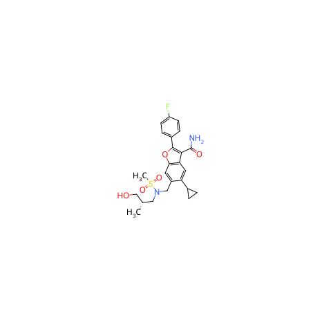 C[C@H](CO)CN(Cc1cc2oc(-c3ccc(F)cc3)c(C(N)=O)c2cc1C1CC1)S(C)(=O)=O